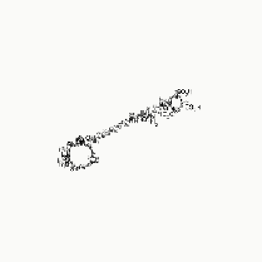 CC[C@H](C)[C@@H]1NC(=O)[C@H](C(C)(C)C)NC(=O)C(C)(C)NC(=O)CCSCc2cccc(c2)CSCC(C(=O)NCCCOCCOCCOCCCNC(=O)CCC(=O)N[C@@H](CCCCNC(=O)CN2CCN(CC(=O)O)CCN(CC(=O)O)CCN(CC(=O)O)CC2)C(N)=O)NC1=O